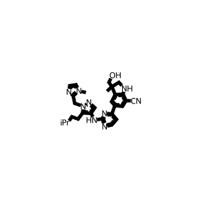 CC(C)CCc1c(Nc2nccc(-c3cc(C#N)c4c(c3)C(C)(CO)CN4)n2)cnn1Cc1nccn1C